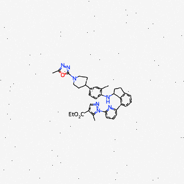 CCOC(=O)c1cnn(-c2cccc(-c3cccc4c3C(Nc3ccc(C5CCN(c6nnc(C)o6)CC5)cc3C)CC4)n2)c1C